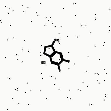 Cl.NC1CCc2cc(F)c(F)cc21